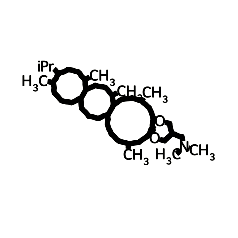 CC1CCCC2CCCC3CCCC(C)C(C(C)C)CCC(C)C3CCC(C)C2CCC(C)CCC2(CC1)OCC(CN(C)C)CO2